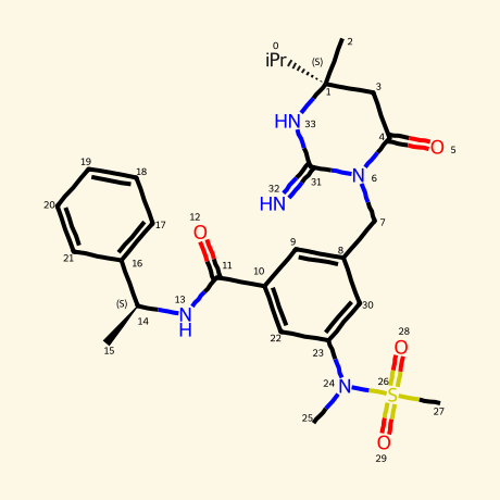 CC(C)[C@]1(C)CC(=O)N(Cc2cc(C(=O)N[C@@H](C)c3ccccc3)cc(N(C)S(C)(=O)=O)c2)C(=N)N1